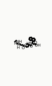 O=C(O)CC(NC(=O)C1CCN(C(=O)CCCNC2=NCCN2)CC1)c1cccc2ccccc12